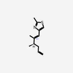 C=CC[C@@H](C)/C(C)=C/c1csc(C)n1